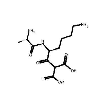 C[C@H](N)C(=O)N[C@@H](CCCCN)C(=O)[C](C(=O)O)C(=O)O